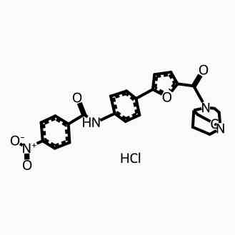 Cl.O=C(Nc1ccc(-c2ccc(C(=O)N3CCN4CCC3CC4)o2)cc1)c1ccc([N+](=O)[O-])cc1